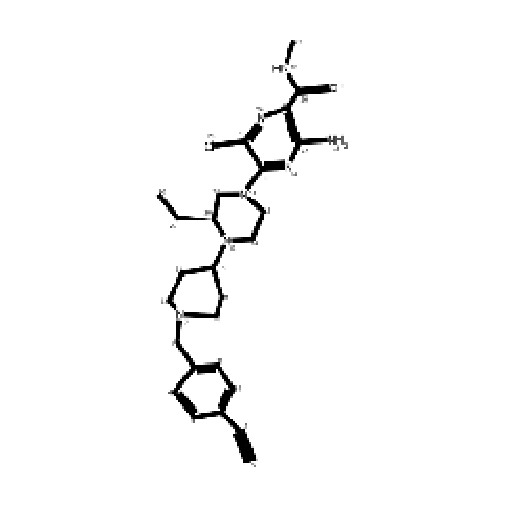 C#Cc1ccc(CN2CCC(N3CCN(c4nc(N)c(C(=O)NC)nc4Cl)C[C@@H]3CC)CC2)cc1